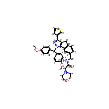 COc1ccc(C(c2ccc(OC)cc2)n2nc(-c3ccsc3)c3c2-c2cc(CNC(=O)CN4CCOCC4)ccc2C3)cc1